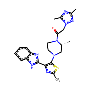 Cc1nc(C)n(CC(=O)N2CCN(c3sc(C(F)(F)F)nc3-c3nc4ccccc4[nH]3)C[C@H]2C)n1